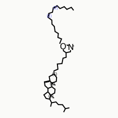 CCCCC/C=C\C/C=C\CCCCCCCCOCC(CCCCCC[C@H]1CC[C@@]2(C)C(=CCC3C4CCC(C(C)CCCC(C)C)[C@@]4(C)CCC32)C1)CN(C)C